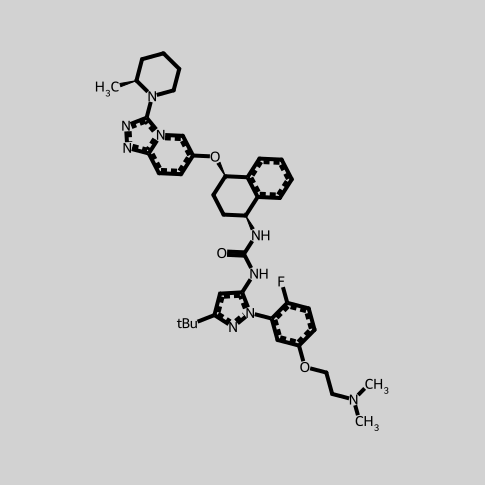 C[C@H]1CCCCN1c1nnc2ccc(O[C@@H]3CC[C@H](NC(=O)Nc4cc(C(C)(C)C)nn4-c4cc(OCCN(C)C)ccc4F)c4ccccc43)cn12